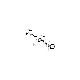 CC(C)N(CCCCn1ncc2c(NC(=O)NC3CCCCC3)ncnc21)C(C)C.Cl